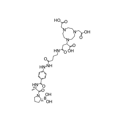 C[C@@H](NC(=O)c1ccc(NNC(=O)CCCNC(=O)CC(C(=O)O)N2CCN(CC(=O)O)CCN(CC(=O)O)CC2)cc1)C(=O)N1CCC[C@H]1B(O)O